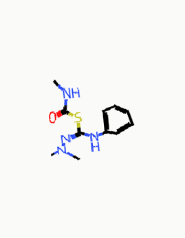 CNC(=O)SC(=NN(C)C)Nc1ccccc1